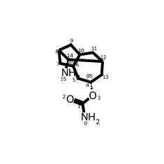 NC(=O)O[C@@H]1CC2CC3CC2CC(C1)[C@H]3N